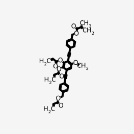 C=CC(=O)OCc1ccc(C#Cc2cc(OC)c(C#Cc3ccc(COC(=O)C(=C)C)cc3)c(OC(=O)C=C)c2OC(=O)C=C)cc1